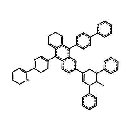 CC1C(c2ccccc2)C=C(c2ccc3c(C4=CC=C(C5=CC=CCN5)CC4)c4c(c(-c5ccc(-c6ccccn6)cc5)c3c2)=CCCC=4)CC1c1ccccc1